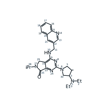 CCN(CC)C1CCN(c2nc(NCc3cnc4ccccc4c3)c3c(n2)C(=O)N(C(C)C)C3)C1